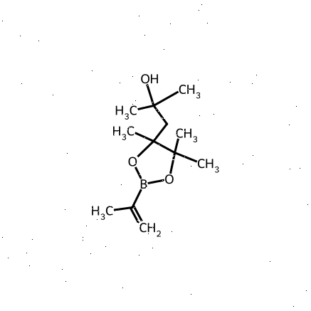 C=C(C)B1OC(C)(C)C(C)(CC(C)(C)O)O1